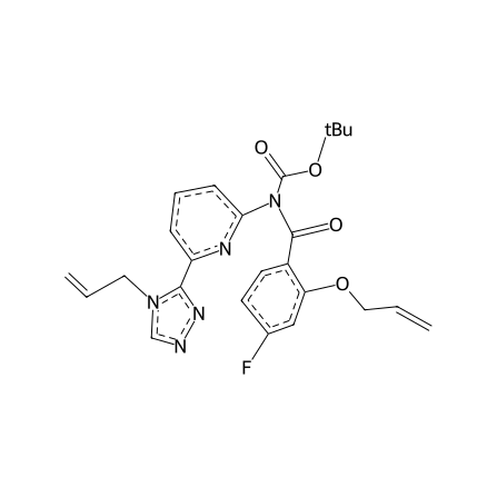 C=CCOc1cc(F)ccc1C(=O)N(C(=O)OC(C)(C)C)c1cccc(-c2nncn2CC=C)n1